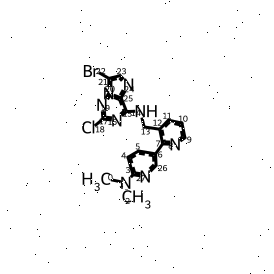 CN(C)c1ccc(-c2ncccc2CNc2nc(Cl)nn3c(Br)cnc23)cn1